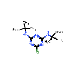 CCCCCC(C)(C)Nc1nc(Cl)nc(NC(C)(C)CCCCC)n1